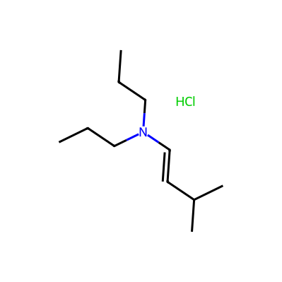 CCCN(/C=C/C(C)C)CCC.Cl